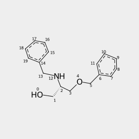 OC[C@@H](COCc1ccccc1)NCc1ccccc1